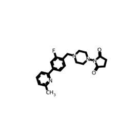 Cc1cccc(-c2ccc(CN3CCN(N4C(=O)CCC4=O)CC3)c(F)c2)n1